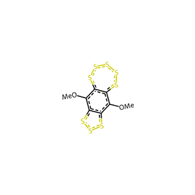 COc1c2sssssc2c(OC)c2sssc12